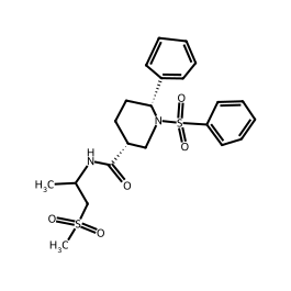 CC(CS(C)(=O)=O)NC(=O)[C@@H]1CC[C@H](c2ccccc2)N(S(=O)(=O)c2ccccc2)C1